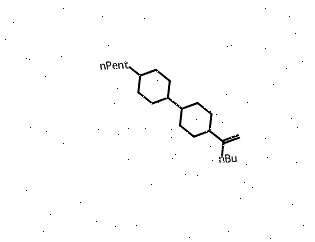 C=C(CCCC)C1CCC(C2CCC(CCCCC)CC2)CC1